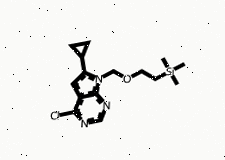 C[Si](C)(C)CCOCn1c(C2CC2)cc2c(Cl)ncnc21